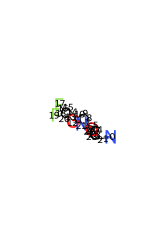 N#CCC12CCC(c3cccc(Oc4ccc(F)c(F)c4)n3)(CC1)OC2